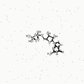 CP(=O)(O)OP(=O)(O)OCC1OC(n2cnc3c(=O)[nH]c(N)nc32)C(O)C1O